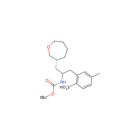 Cc1ccc(S(=O)(=O)O)c(CC(C[C@H]2CCCCOC2)NC(=O)OC(C)(C)C)c1